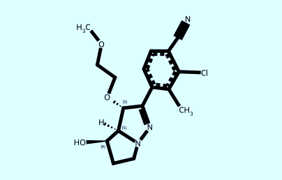 COCCO[C@@H]1C(c2ccc(C#N)c(Cl)c2C)=NN2CC[C@@H](O)[C@@H]12